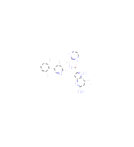 C[C@@H](c1ncccn1)N(Cc1ccc(-c2c(F)cccc2F)cn1)C(=O)c1cc2nc(N)c3c(c2[nH]1)COC3